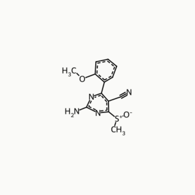 COc1ccccc1-c1nc(N)nc([S+](C)[O-])c1C#N